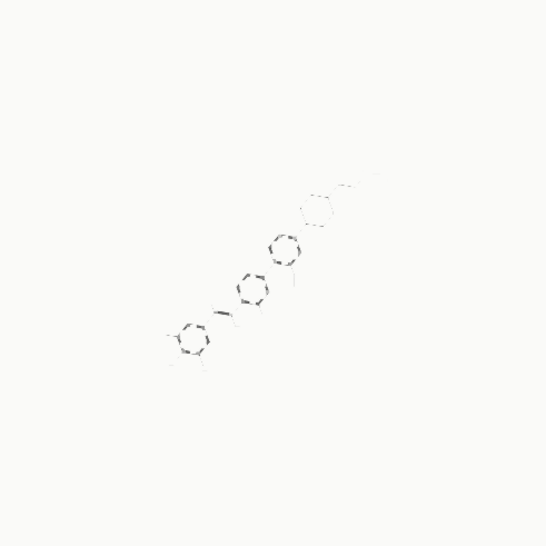 CCCC1CCC(c2ccc(-c3ccc(/C(F)=C(\F)c4cc(F)c(F)c(F)c4)c(F)c3)c(F)c2)CC1